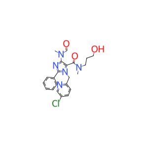 CN(CCCO)C(=O)c1c(N(C)C=O)nc(-c2ccccc2)n1Cc1ccc(Cl)cn1